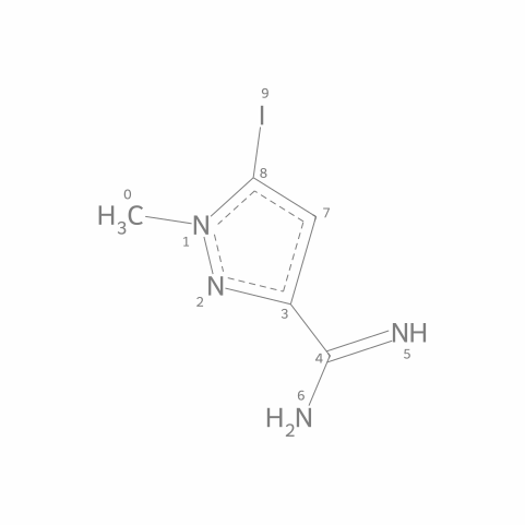 Cn1nc(C(=N)N)cc1I